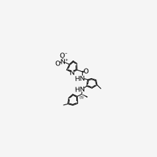 Cc1ccc([C@H](C)Nc2cc(C)ccc2NC(=O)c2ccc([N+](=O)[O-])cn2)cc1